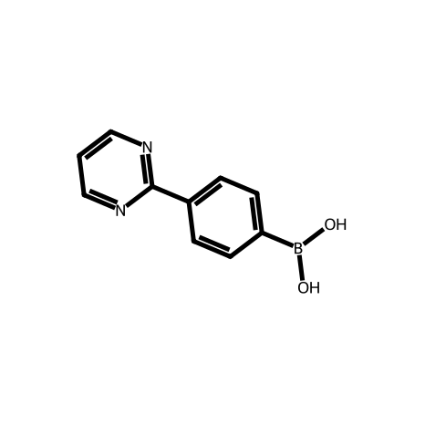 OB(O)c1ccc(-c2ncccn2)cc1